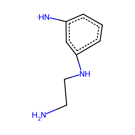 [NH]c1cccc(NCCN)c1